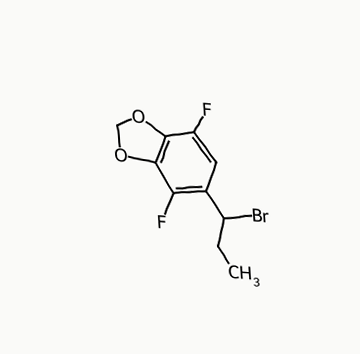 CCC(Br)c1cc(F)c2c(c1F)OCO2